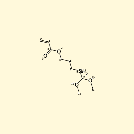 C=CC(=O)OCCC[SiH2]C(OC)OC